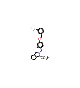 O=C(O)[C@H]1C2CCCC2CN1Cc1ccc(OCc2cccc(C(F)(F)F)c2)cc1F